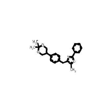 Cc1oc(-c2ccccc2)nc1Cc1ccc(C2COC(C)(C)OC2)cc1